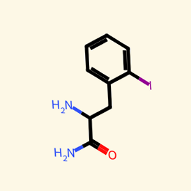 NC(=O)C(N)Cc1ccccc1I